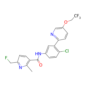 Cc1nc(CF)ccc1C(=O)Nc1ccc(Cl)c(-c2ccc(OCC(F)(F)F)cn2)c1